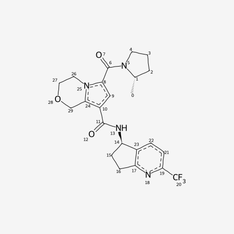 C[C@H]1CCCN1C(=O)c1cc(C(=O)N[C@@H]2CCc3nc(C(F)(F)F)ccc32)c2n1CCOC2